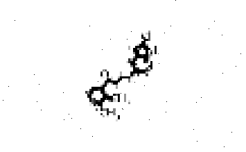 Cc1nccc(C(=O)CCCc2cnc3[nH]c(Cl)cc3c2)c1C